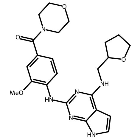 COc1cc(C(=O)N2CCOCC2)ccc1Nc1nc(NCC2CCCO2)c2cc[nH]c2n1